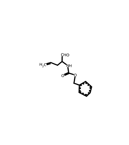 C=CCC(C=O)NC(=O)OCc1ccccc1